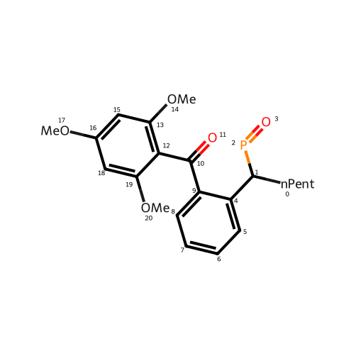 CCCCCC(P=O)c1ccccc1C(=O)c1c(OC)cc(OC)cc1OC